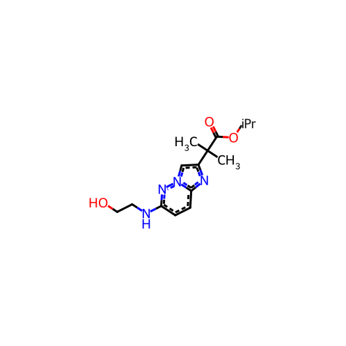 CC(C)OC(=O)C(C)(C)c1cn2nc(NCCO)ccc2n1